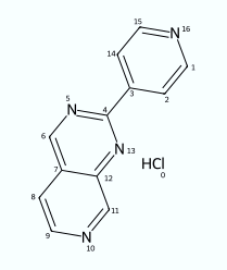 Cl.c1cc(-c2ncc3ccncc3n2)ccn1